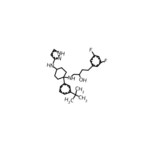 CC(C)(C)c1cccc(C2(NCC(O)CCc3cc(F)cc(F)c3)CCC(Nc3cc[nH]n3)CC2)c1